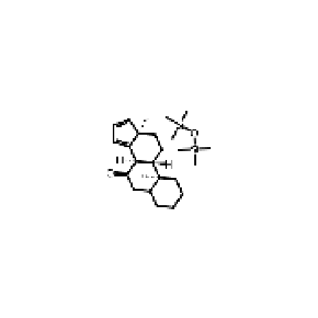 C[C@@]12C=CC=C1[C@@H]1C(=O)CC3CCCC[C@]3(C)[C@H]1CC2.C[Si](C)(C)O[Si](C)(C)C